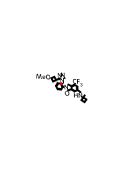 CO[C@H]1C[C@](c2cccc(N3Cc4c(cc(CNC5(C)CCC5)cc4C(F)(F)F)C3=O)c2)(c2nncn2C)C1